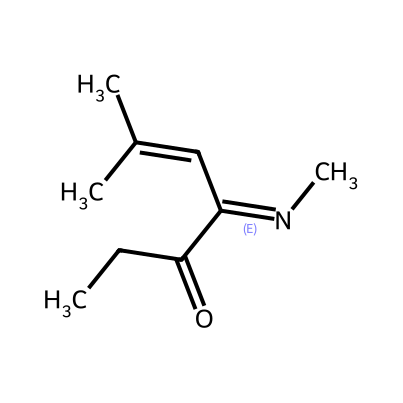 CCC(=O)/C(C=C(C)C)=N/C